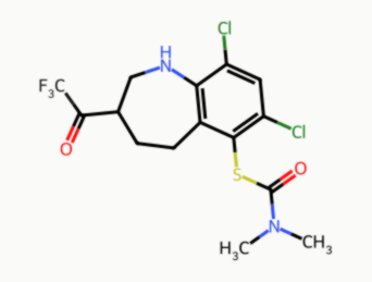 CN(C)C(=O)Sc1c(Cl)cc(Cl)c2c1CCC(C(=O)C(F)(F)F)CN2